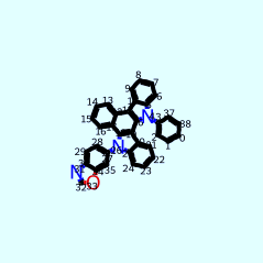 c1ccc(-n2c3ccccc3c3c4ccccc4c4c(c5ccccc5n4-c4ccc5ncoc5c4)c32)cc1